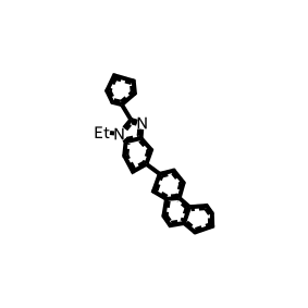 CCn1c(-c2ccccc2)nc2cc(-c3ccc4c(ccc5ccccc54)c3)ccc21